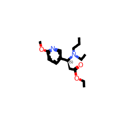 CCCN(CC)[C@@H](CC(=O)OCC)c1ccc(OC)nc1